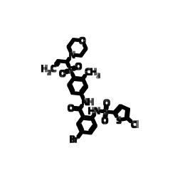 C=CC(N1CCOCC1)S(=O)(=O)c1ccc(NC(=O)c2cc(Br)ccc2NS(=O)(=O)c2ccc(Cl)s2)cc1C